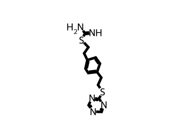 N=C(N)SCCc1ccc(CCSc2ncncn2)cc1